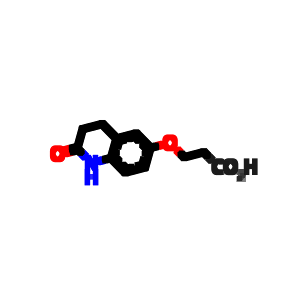 O=C(O)CCOc1ccc2c(c1)CCC(=O)N2